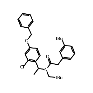 CC(c1ccc(OCc2ccccc2)cc1Cl)N(CC(C)(C)C)C(=O)Cc1cccc(C(C)(C)C)c1